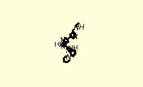 CCNCc1cncc(-c2cnc3[nH]nc(-c4nc5c(N6CCCCC6)cccc5[nH]4)c3c2)c1